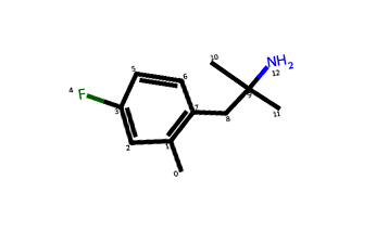 Cc1cc(F)ccc1CC(C)(C)N